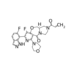 C=CC(=O)N1CCN2C(=O)c3c(N4CCOCC4)nc(-c4c(F)ccc5cn[nH]c45)c(F)c3OC[C@H]2C1